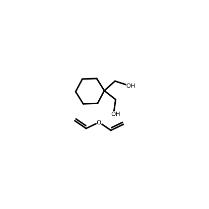 C=COC=C.OCC1(CO)CCCCC1